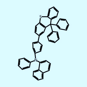 c1ccc(N(c2ccc(-c3ccc4c(c3)C(c3ccccc3)(c3ccccc3)c3ccccc3S4)cc2)c2cccc3ccccc23)cc1